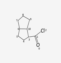 O=C(Cl)C1CCC2CCCC21